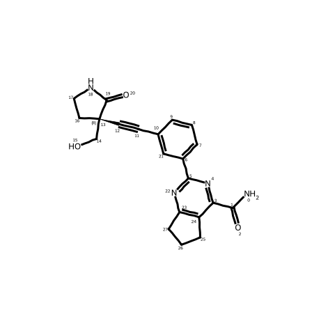 NC(=O)c1nc(-c2cccc(C#C[C@@]3(CO)CCNC3=O)c2)nc2c1CCC2